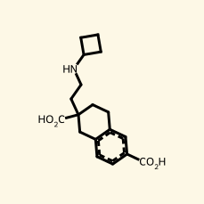 O=C(O)c1ccc2c(c1)CCC(CCNC1CCC1)(C(=O)O)C2